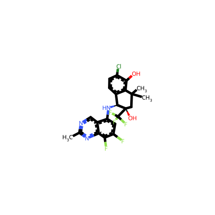 Cc1ncc2c(N[C@H]3c4ccc(Cl)c(O)c4C(C)(C)C[C@]3(O)C(F)(F)F)cc(F)c(F)c2n1